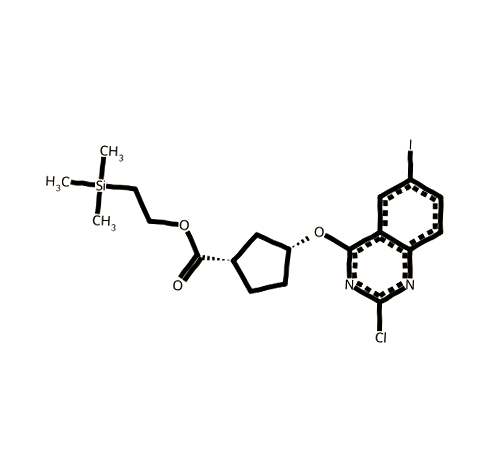 C[Si](C)(C)CCOC(=O)[C@H]1CC[C@@H](Oc2nc(Cl)nc3ccc(I)cc23)C1